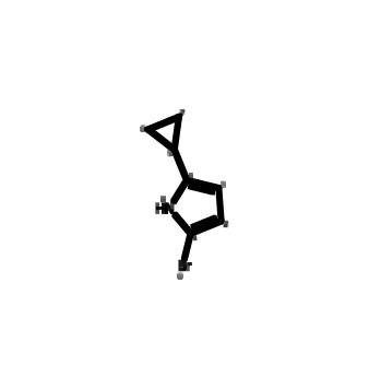 Brc1ccc(C2CC2)[nH]1